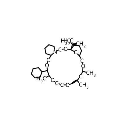 C=C(C)C12CCN3CCCCC3COC(C3CCCCC3)C(C)CCCCC=C(C)CC(C)OCC(CCC1C)C2